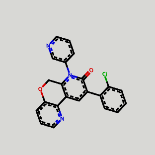 O=c1c(-c2ccccc2Cl)cc2c(n1-c1cccnc1)COc1cccnc1-2